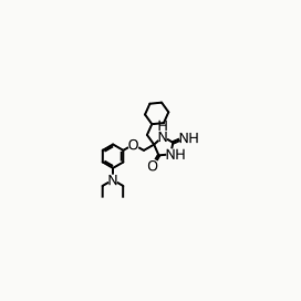 CCN(CC)c1cccc(OCC2(CC3CCCCC3)NC(=N)NC2=O)c1